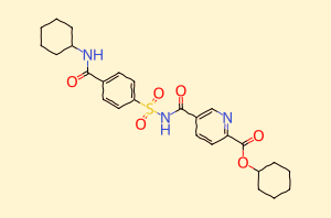 O=C(NC1CCCCC1)c1ccc(S(=O)(=O)NC(=O)c2ccc(C(=O)OC3CCCCC3)nc2)cc1